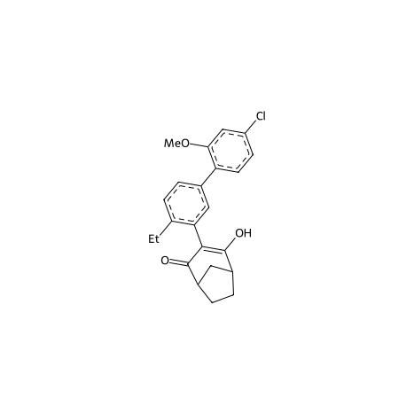 CCc1ccc(-c2ccc(Cl)cc2OC)cc1C1=C(O)C2CCC(C2)C1=O